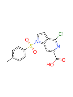 Cc1ccc(S(=O)(=O)n2ccc3c(Cl)nc(C(=O)O)cc32)cc1